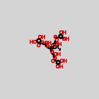 CCC(COCC(O)COC(=O)c1cc(O)cc(O)c1)(COCC(O)COC(=O)c1cc(O)cc(O)c1)COCC(O)COC1(C=O)CC(O)CC(O)C1